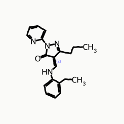 CCCC1=NN(c2ccccn2)C(=O)/C1=C\Nc1ccccc1CC